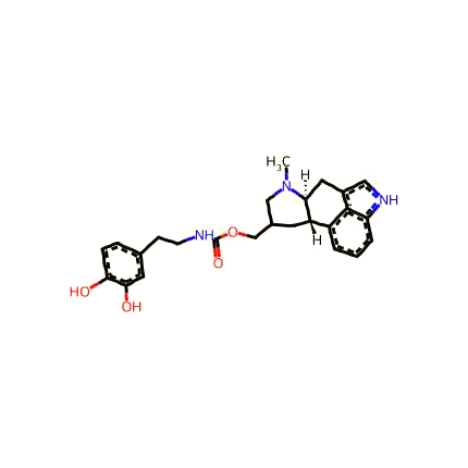 CN1CC(COC(=O)NCCc2ccc(O)c(O)c2)C[C@H]2c3cccc4[nH]cc(c34)C[C@@H]21